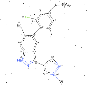 CNCc1cc(C)c(-c2cc3c(-c4cnn(C(C)C)c4)n[nH]c3cc2C#N)c(F)c1